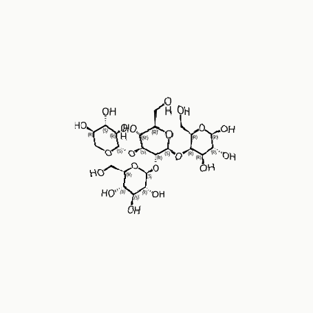 OC[C@H]1O[C@@H](O[C@H]2[C@H](O[C@@H]3[C@H](O)[C@@H](O)[C@H](O)O[C@@H]3CO)O[C@H](CO)[C@@H](O)[C@@H]2O[C@@H]2OC[C@@H](O)[C@H](O)[C@H]2O)[C@H](O)[C@@H](O)[C@@H]1O